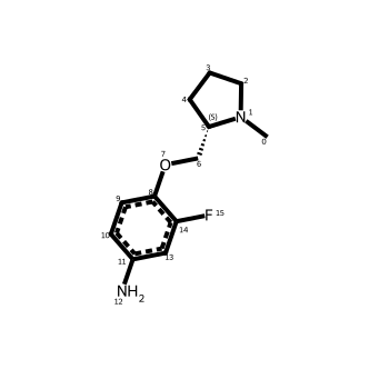 CN1CCC[C@H]1COc1ccc(N)cc1F